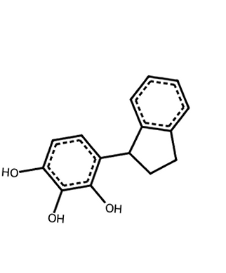 Oc1ccc(C2CCc3ccccc32)c(O)c1O